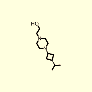 CC(C)[C@H]1C[C@@H](N2CCN(CCO)CC2)C1